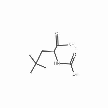 CC(C)(C)C[C@H](NC(=O)O)C(N)=O